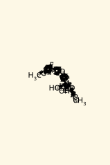 CCOc1ccc(F)c(N2CCC(Oc3ccc(N4C[C@H](OCCCOC)[C@@H](C)[C@@H]4CC(O)O)cc3)CC2)c1